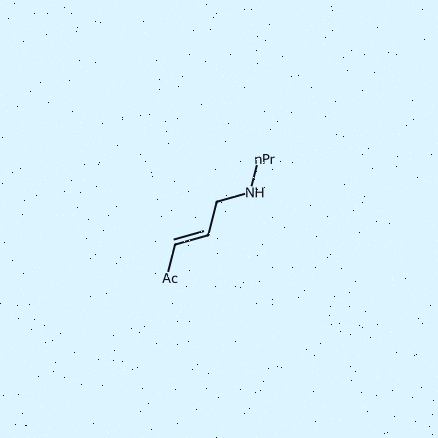 CCCNCC=CC(C)=O